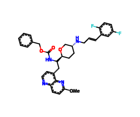 COc1ccc2nccc(CC(NC(=O)OCc3ccccc3)[C@@H]3CC[C@@H](NC/C=C/c4cc(F)ccc4F)CO3)c2n1